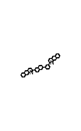 c1cc(-c2ccc3cc(-c4ccc5cc6ccccc6cc5n4)ccc3c2)cc(-c2ccc3cc4ccccc4cc3n2)c1